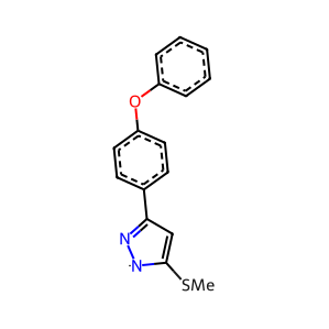 CSC1=CC(c2ccc(Oc3ccccc3)cc2)=N[N]1